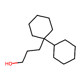 OCCCC1(C2CCCCC2)CCCCC1